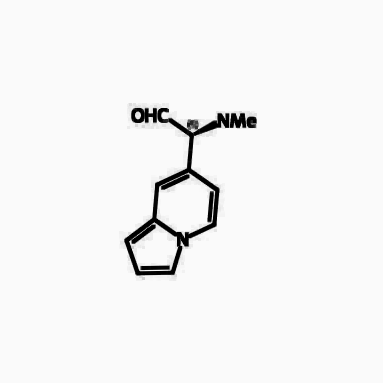 CN[C@H](C=O)c1ccn2cccc2c1